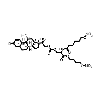 C[C@]12C=CC(=O)C=C1CC[C@@H]1[C@@H]2[C@@H](O)C[C@@]2(C)[C@H]1CC[C@]2(O)C(=O)COC(=O)OCC(NC(=O)CCCCCO[N+](=O)[O-])C(=O)OCCCCO[N+](=O)[O-]